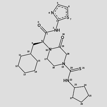 O=C(Nc1nccs1)[C@H](CC1CCCCC1)N1CCN(C(=S)NC2CCCC2)CC1=O